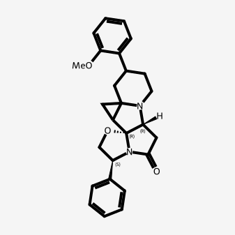 COc1ccccc1C1CCN2[C@@H]3CC(=O)N4[C@@H](c5ccccc5)CO[C@]34C3CC32C1